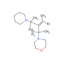 CCC(C)=C(C(C)(C)N1CCCCC1)C(C)(C)N1CCOCC1